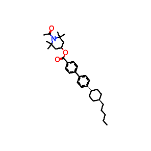 CCCCC[C@H]1CC[C@H](c2ccc(-c3ccc(C(=O)OC4CC(C)(C)N(C(C)=O)C(C)(C)C4)cc3)cc2)CC1